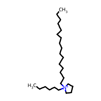 CCCCCCCCCCCCCCCC[N+]1(CCCCCC)CCCC1